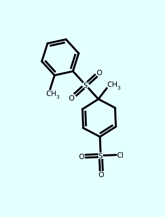 Cc1ccccc1S(=O)(=O)C1(C)C=CC(S(=O)(=O)Cl)=CC1